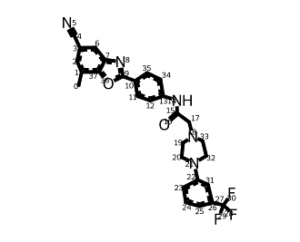 Cc1cc(C#N)cc2nc(-c3ccc(NC(=O)CN4CCN(c5cccc(C(F)(F)F)c5)CC4)cc3)oc12